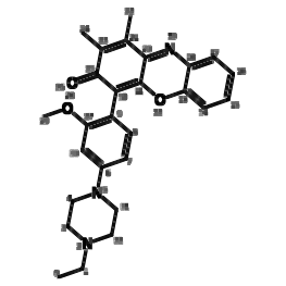 CCN1CCN(c2ccc(-c3c4oc5ccccc5nc-4c(C)c(C)c3=O)c(OC)c2)CC1